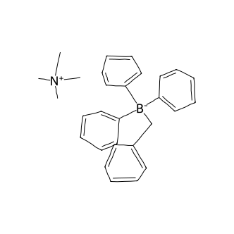 C[N+](C)(C)C.c1ccc(C[B-](c2ccccc2)(c2ccccc2)c2ccccc2)cc1